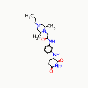 CCCN1C[C@@H](C)N(CC(=O)Nc2cccc(N[C@H]3CCC(=O)NC3=O)c2)[C@@H](C)C1